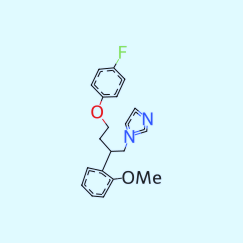 COc1ccccc1C(CCOc1ccc(F)cc1)Cn1ccnc1